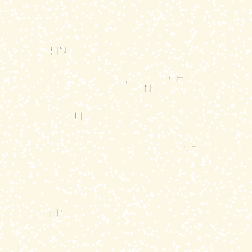 CCCOc1cc2c(c(C(F)(F)F)c1)N(C)[C@@H]1CCNC[C@H]21